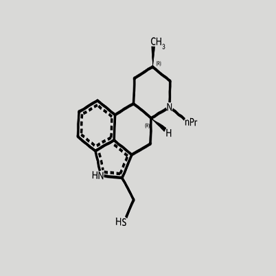 CCCN1C[C@H](C)CC2c3cccc4[nH]c(CS)c(c34)C[C@H]21